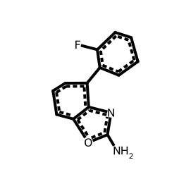 Nc1nc2c(-c3ccccc3F)cccc2o1